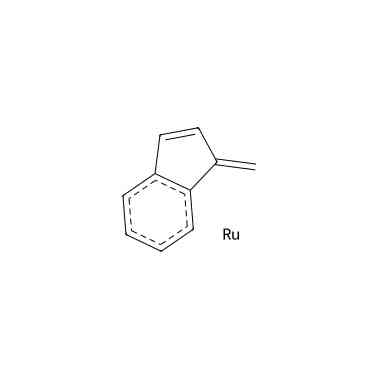 C=C1C=Cc2ccccc21.[Ru]